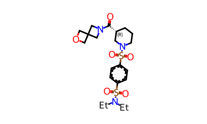 CCN(CC)S(=O)(=O)c1ccc(S(=O)(=O)N2CCC[C@@H](C(=O)N3CC4(COC4)C3)C2)cc1